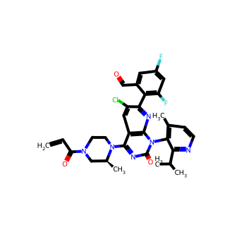 C=CC(=O)N1CCN(c2nc(=O)n(-c3c(C)ccnc3C(C)C)c3nc(-c4c(F)cc(F)cc4C=O)c(Cl)cc23)[C@@H](C)C1